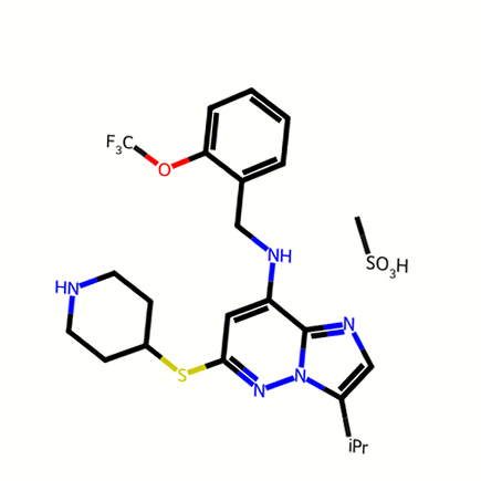 CC(C)c1cnc2c(NCc3ccccc3OC(F)(F)F)cc(SC3CCNCC3)nn12.CS(=O)(=O)O